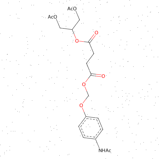 CC(=O)Nc1ccc(OCOC(=O)CCC(=O)OC(COC(C)=O)COC(C)=O)cc1